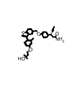 CC#C[C@@H](CC(N)=O)c1ccc(OCc2ccc3scc(-c4ccc(OCCC(C)(C)O)cc4C)c3c2)cc1